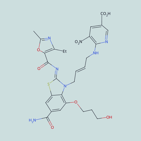 CCc1nc(C)oc1C(=O)/N=c1\sc2cc(C(N)=O)cc(OCCCO)c2n1C/C=C/CNc1ncc(C(=O)O)cc1[N+](=O)[O-]